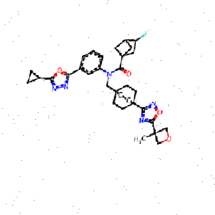 CC1(c2nc(C34CCC(CN(C(=O)C56CC(F)C(C5)C6)c5cccc(-c6nnc(C7CC7)o6)c5)(CC3)CC4)no2)COC1